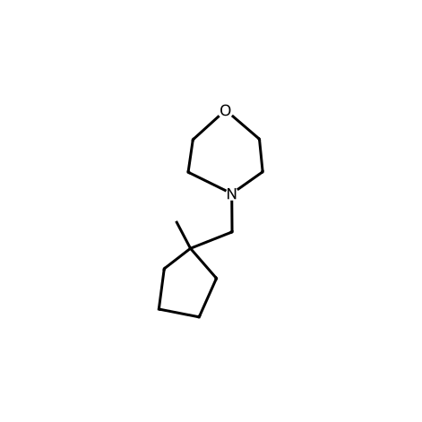 CC1(CN2CCOCC2)CCCC1